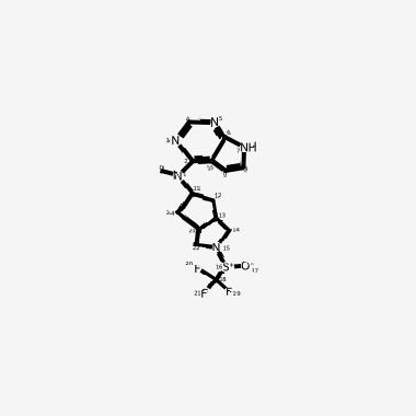 CN(c1ncnc2[nH]ccc12)C1CC2CN([S+]([O-])C(F)(F)F)CC2C1